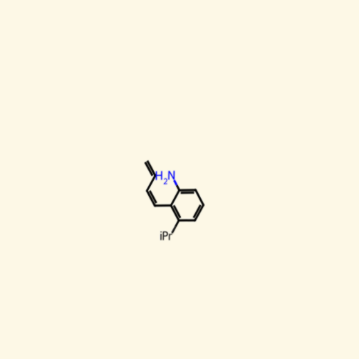 C=C/C=C\c1c(N)cccc1C(C)C